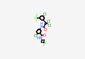 O=C(NC1CC(F)(F)C1)c1cc(NC(=O)C2C(c3cc(Cl)cc(C(F)(F)F)c3)C2(Cl)Cl)ccc1Cl